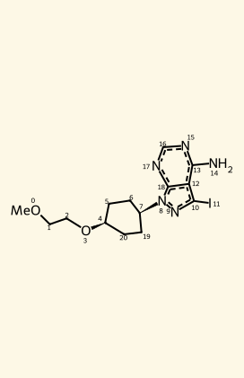 COCCO[C@H]1CC[C@@H](n2nc(I)c3c(N)ncnc32)CC1